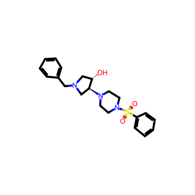 O=S(=O)(c1ccccc1)N1CCN([C@H]2CN(Cc3ccccc3)C[C@@H]2O)CC1